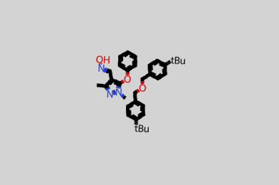 CC(C)(C)c1ccc(COCc2ccc(C(C)(C)C)cc2)cc1.Cc1nn(C)c(Oc2ccccc2)c1C=NO